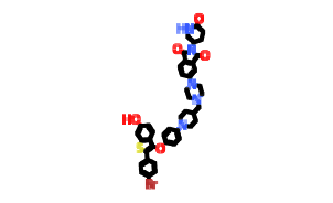 O=C1CCC(N2C(=O)c3ccc(N4CCN(CC5CCN(c6ccc(Oc7c(-c8ccc(Br)cc8)sc8cc(O)ccc78)cc6)CC5)CC4)cc3C2=O)CN1